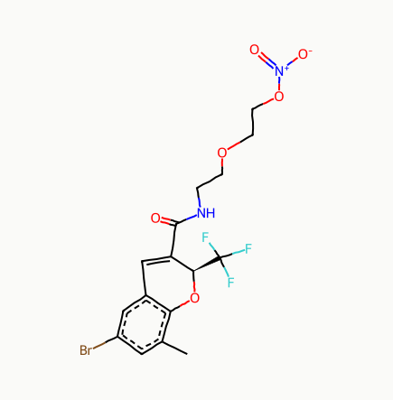 Cc1cc(Br)cc2c1O[C@H](C(F)(F)F)C(C(=O)NCCOCCO[N+](=O)[O-])=C2